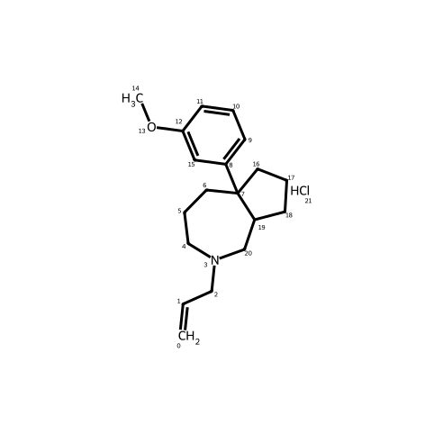 C=CCN1CCCC2(c3cccc(OC)c3)CCCC2C1.Cl